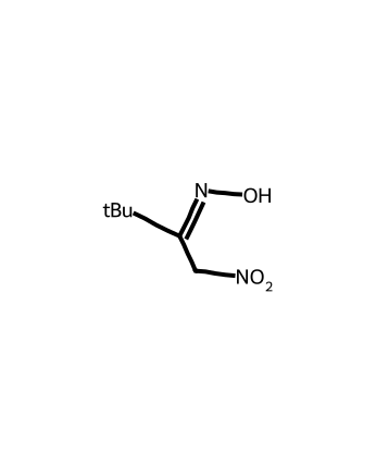 CC(C)(C)C(C[N+](=O)[O-])=NO